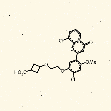 COc1cc(Cl)c(OCCOC2CC(C(=O)O)C2)cc1-c1cc(=O)c2cccc(Cl)c2o1